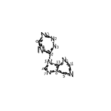 c1nnnc(-n2cnc3cncnc32)n1